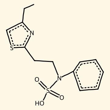 CCc1csc(CCN(c2ccccc2)S(=O)(=O)O)n1